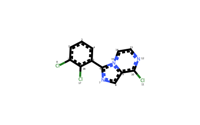 Clc1cccc(-c2ncc3c(Cl)nccn23)c1Cl